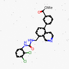 COC(=O)c1cccc(-c2ccc(CNC(=O)Nc3cccc(Cl)c3Cl)c3cnccc23)c1